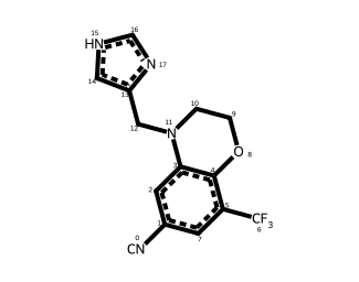 [C-]#[N+]c1cc2c(c(C(F)(F)F)c1)OCCN2Cc1c[nH]cn1